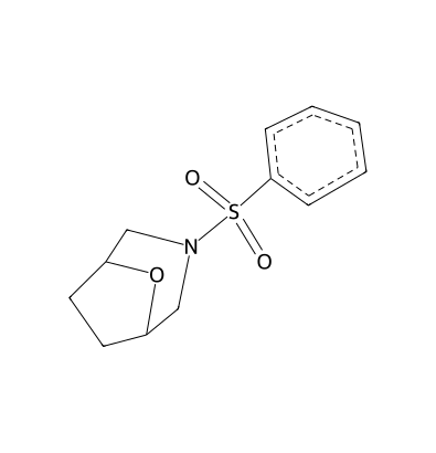 O=S(=O)(c1ccccc1)N1CC2CCC(C1)O2